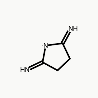 N=C1CCC(=N)[N]1